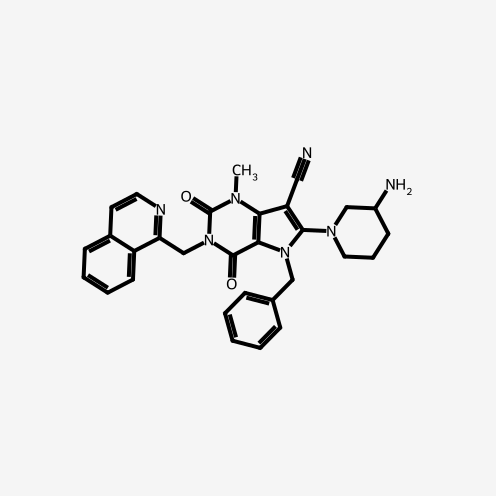 Cn1c(=O)n(Cc2nccc3ccccc23)c(=O)c2c1c(C#N)c(N1CCCC(N)C1)n2Cc1ccccc1